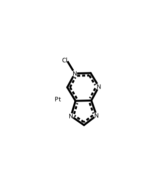 Cln1cnc2ncnc-2c1.[Pt]